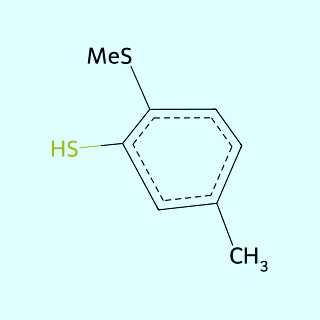 CSc1ccc(C)cc1S